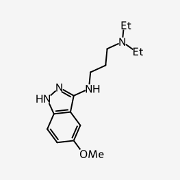 CCN(CC)CCCNc1n[nH]c2ccc(OC)cc12